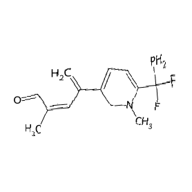 C=C(/C=C(/C)C=O)C1=CC=C(C(F)(F)P)N(C)C1